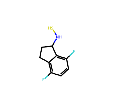 Fc1ccc(F)c2c1CCC2NS